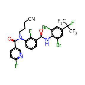 N#CCCCN(C(=O)c1ccc(F)nc1)c1cccc(C(=O)Nc2c(Br)cc(C(F)(C(F)(F)F)C(F)(F)F)cc2Br)c1F